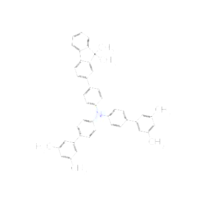 Cc1cc(C)cc(-c2ccc(N(c3ccc(-c4cc(C)cc(C)c4)cc3)c3ccc(-c4ccc5c(c4)C(C)(C)c4ccccc4-5)cc3)cc2)c1